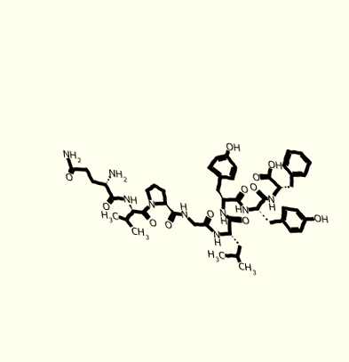 CC(C)C[C@H](NC(=O)CNC(=O)[C@@H]1CCCN1C(=O)[C@@H](NC(=O)[C@@H](N)CCC(N)=O)C(C)C)C(=O)N[C@@H](Cc1ccc(O)cc1)C(=O)N[C@@H](Cc1ccc(O)cc1)C(=O)N[C@@H](Cc1ccccc1)C(=O)O